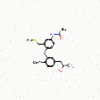 C=C(O)Cc1ccc(OC)c(Cc2ccc(NC(=O)C(C)(C)C)cc2CSC(C)(C)C)c1